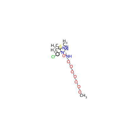 CCOCCOCCOCCOCCOCCOCCOCCNC(=O)C[C@@H]1N=C(c2ccc(Cl)cc2)c2c(sc(C)c2C)-n2c(C)nnc21